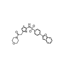 O=C(Cc1csc(NS(=O)(=O)c2ccc(-c3cc4ccccc4o3)cc2)n1)N1CCOCC1